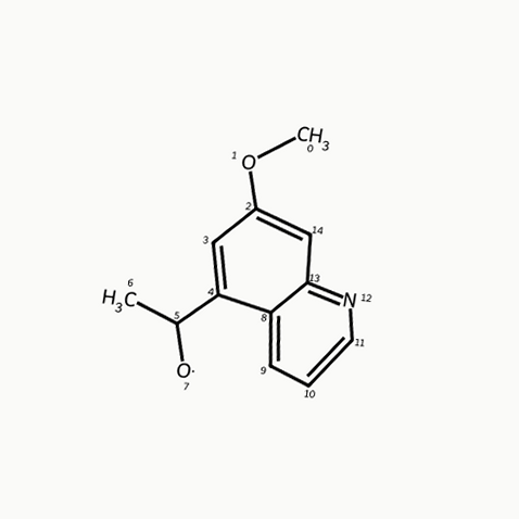 COc1cc(C(C)[O])c2cccnc2c1